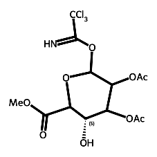 COC(=O)C1OC(OC(=N)C(Cl)(Cl)Cl)C(OC(C)=O)C(OC(C)=O)[C@@H]1O